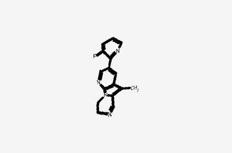 Cc1c2n(c3ncc(-c4ncccc4F)cc13)CCN=C2